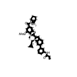 C=CC(=O)Nc1cccc(-c2ccc3cc(-c4nc5cc(C(=O)N6CC7CCC6C7N)cc(OC)c5n4C)n(CC4CC4)c3c2)c1